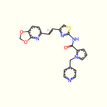 O=C(Nc1nc(/C=C/c2ccc3c(n2)OCO3)cs1)c1cccn1Cc1ccncc1